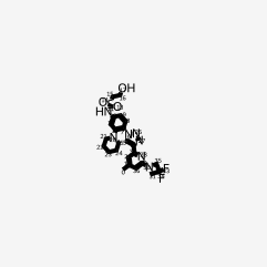 Cc1cc(-c2cn(-c3ccc(NS(=O)(=O)CCO)cc3N3CCCCC3)nn2)nc(N2CC(F)(F)C2)c1